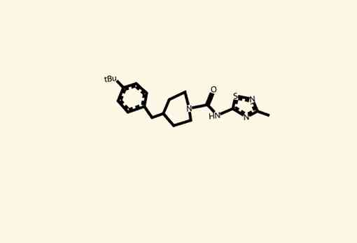 Cc1nsc(NC(=O)N2CCC(Cc3ccc(C(C)(C)C)cc3)CC2)n1